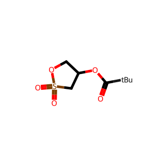 CC(C)(C)C(=O)OC1COS(=O)(=O)C1